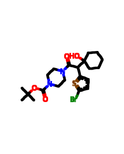 CC(C)(C)OC(=O)N1CCN(C(=O)C(c2ccc(Br)s2)C2(O)CCCCC2)CC1